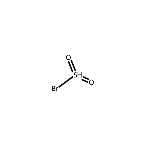 O=[SH](=O)Br